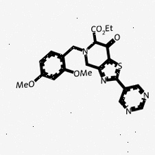 CCOC(=O)C1C(=O)c2sc(-c3cncnc3)nc2CN1Cc1ccc(OC)cc1OC